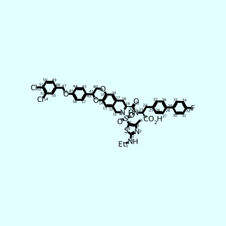 CCNc1nc(C)c(S(=O)(=O)N2Cc3cc4c(cc3C[C@H]2C(=O)N[C@@H](Cc2ccc(-c3ccc(F)cc3)cc2)C(=O)O)OCC(c2ccc(OCc3ccc(Cl)c(Cl)c3)cc2)O4)s1